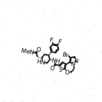 CNC(=O)C[C@@H]1C[C@@H](c2ccc(F)c(F)c2)[C@H](NC(=O)c2cc3c(s2)OCCn2ncc(Br)c2-3)CN1